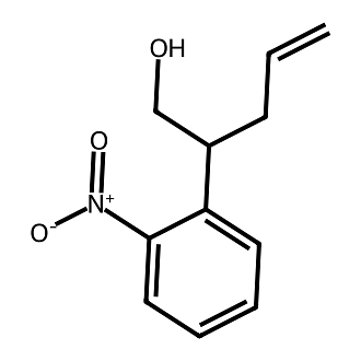 C=CCC(CO)c1ccccc1[N+](=O)[O-]